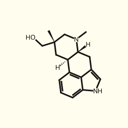 CN1C[C@@](C)(CO)C[C@@H]2c3cccc4[nH]cc(c34)C[C@H]21